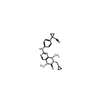 CN1C(=O)[C@H](CC2CC2)N(C)c2nc(Nc3ccc(C4(C#N)CC4)cc3)ncc21